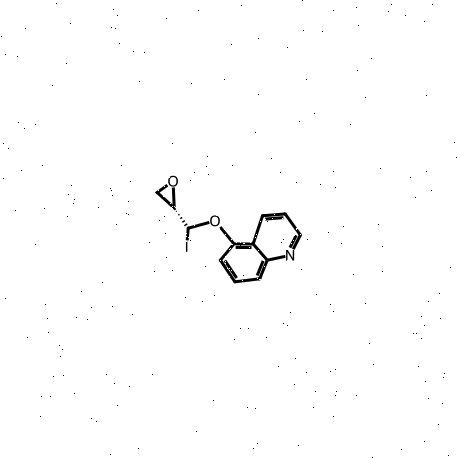 IC(Oc1cccc2ncccc12)[C@@H]1CO1